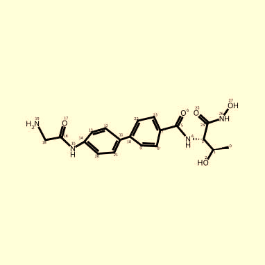 C[C@@H](O)[C@H](NC(=O)c1ccc(-c2ccc(NC(=O)CN)cc2)cc1)C(=O)NO